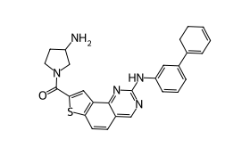 NC1CCN(C(=O)c2cc3c(ccc4cnc(Nc5cccc(C6=CC=CCC6)c5)nc43)s2)C1